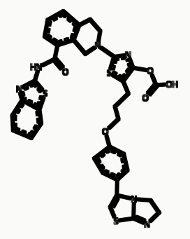 O=C(O)Oc1nc(N2CCc3cccc(C(=O)Nc4nc5ccccc5s4)c3C2)sc1CCCOc1ccc(C2=CSC3=NCCN23)cc1